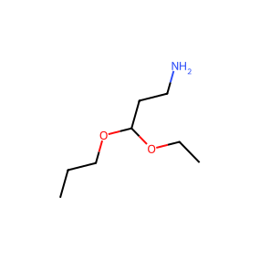 CCCOC(CCN)OCC